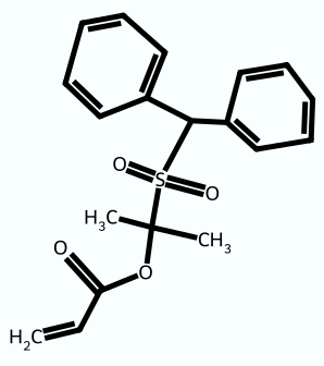 C=CC(=O)OC(C)(C)S(=O)(=O)C(c1ccccc1)c1ccccc1